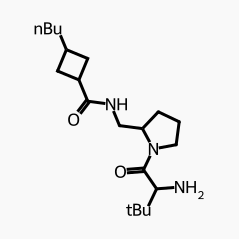 CCCCC1CC(C(=O)NCC2CCCN2C(=O)C(N)C(C)(C)C)C1